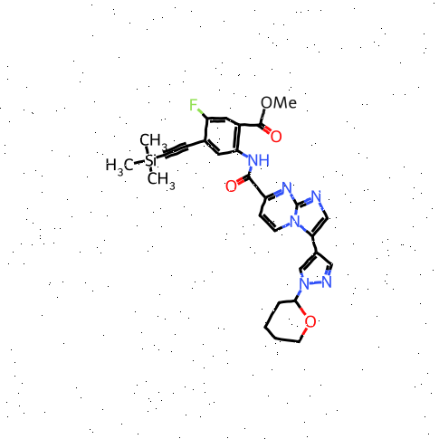 COC(=O)c1cc(F)c(C#C[Si](C)(C)C)cc1NC(=O)c1ccn2c(-c3cnn(C4CCCCO4)c3)cnc2n1